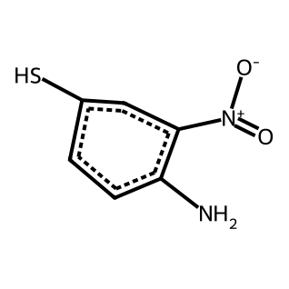 Nc1ccc(S)cc1[N+](=O)[O-]